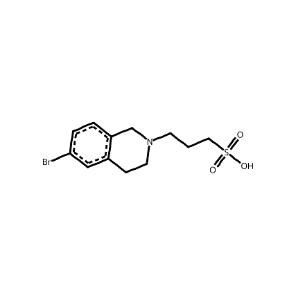 O=S(=O)(O)CCCN1CCc2cc(Br)ccc2C1